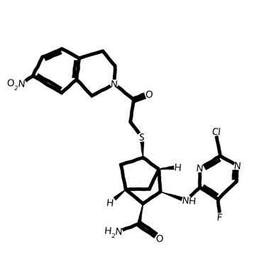 NC(=O)[C@H]1[C@H]2C[C@@H]([C@H]1Nc1nc(Cl)ncc1F)[C@H](SCC(=O)N1CCc3ccc([N+](=O)[O-])cc3C1)C2